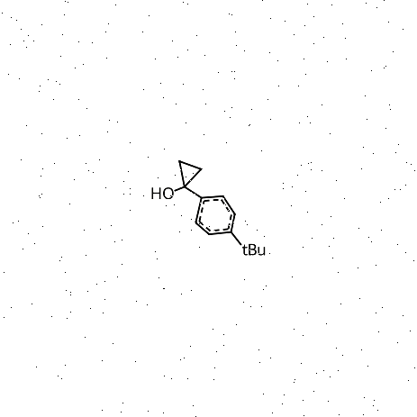 CC(C)(C)c1ccc(C2(O)CC2)cc1